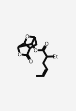 C/C=C\CC(CC)C(=O)OC1C2CC3C(=O)OC1C3O2